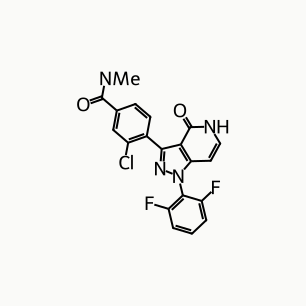 CNC(=O)c1ccc(-c2nn(-c3c(F)cccc3F)c3cc[nH]c(=O)c23)c(Cl)c1